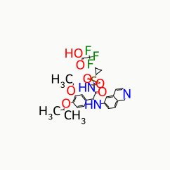 CCOc1cc(C(Nc2ccc3cnccc3c2)C(=O)NS(=O)(=O)C2CC2)ccc1OC(C)C.O=C(O)C(F)(F)F